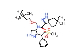 CC1(C)CCc2c(C(=O)N(COCC[Si](C)(C)C)c3c[nH]nc3C(CS(C)(=O)=O)c3ccccc3)n[nH]c2C1